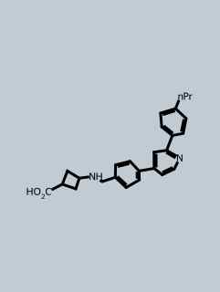 CCCc1ccc(-c2cc(-c3ccc(CNC4CC(C(=O)O)C4)cc3)ccn2)cc1